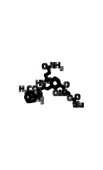 COc1c(CC(NC(=O)CCC(N)=O)B2OC3CC4CC(C4(C)C)C3(C)O2)cccc1C(=O)OCOC(=O)C(C)(C)C